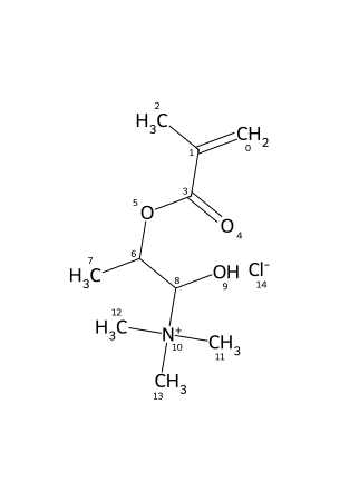 C=C(C)C(=O)OC(C)C(O)[N+](C)(C)C.[Cl-]